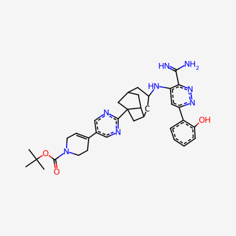 CC(C)(C)OC(=O)N1CC=C(c2cnc(C34CC5CC(Nc6cc(-c7ccccc7O)nnc6C(=N)N)CC(C3)C4C5)nc2)CC1